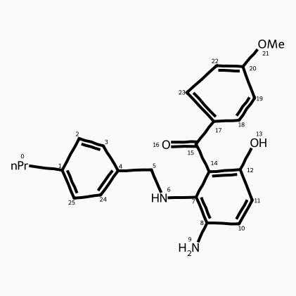 CCCc1ccc(CNc2c(N)ccc(O)c2C(=O)c2ccc(OC)cc2)cc1